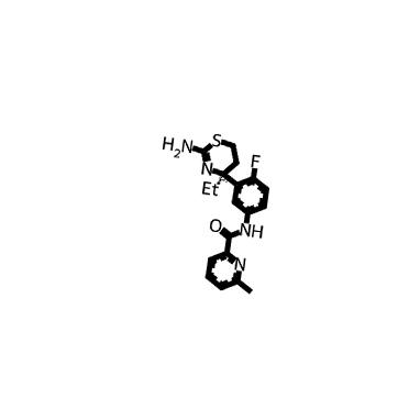 CC[C@@]1(c2cc(NC(=O)c3cccc(C)n3)ccc2F)CCSC(N)=N1